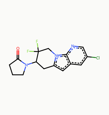 O=C1CCCN1C1Cc2cc3cc(Cl)cnc3n2CC1(F)F